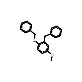 COc1ccc(OCc2ccccc2)c(Cc2ccccc2)c1